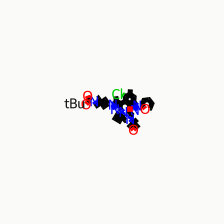 Cc1cc2c(cnn2C2CCCCO2)c(-c2c(N3CCN(C4(C)COC4)CC34CCC4)nn(C3CC4(C3)CN(C(=O)OC(C)(C)C)C4)c2C)c1Cl